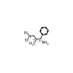 CCN(CC)C[C@H](C)[C@@H](N)c1ccccc1